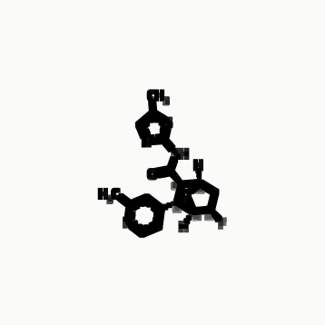 Cc1cc([C@H]2[C@H]3O[C@H](C[C@H]3F)[C@@H]2C(=O)Nc2ncc(C)s2)ccn1